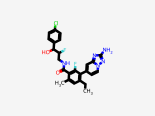 CCc1cc(C)c(C(=O)NCC(F)C(O)c2ccc(Cl)cc2)c(F)c1-c1ccn2nc(N)nc2c1